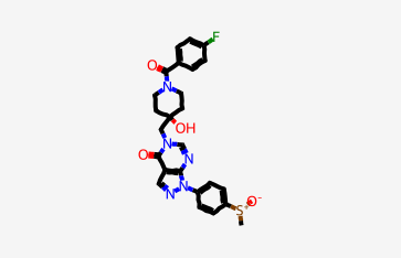 C[S+]([O-])c1ccc(-n2ncc3c(=O)n(CC4(O)CCN(C(=O)c5ccc(F)cc5)CC4)cnc32)cc1